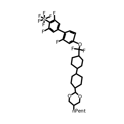 CCCCCC1COC(C2CCC(C3CCC(C(F)(F)Oc4ccc(-c5cc(F)c(S(F)(F)(F)(F)F)c(F)c5)c(F)c4)CC3)CC2)OC1